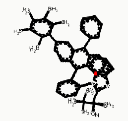 Bc1c(B)c(B)c(-c2ccc3c(-c4ccccc4-n4c(C(B)(O)C(B)(B)B)nc5ccccc54)c4ccccc4c(-c4ccccc4)c3c2)c(B)c1B